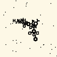 CC(C)C1CCC2(CC1)N=C(c1cc(Cl)c(OCc3ccccc3)c(Cl)c1)C(=O)N2[C@@H](c1ccc(C(=O)NC/C(N)=N/N)cc1)C1CC1